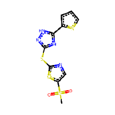 CS(=O)(=O)c1cnc(Sc2n[nH]c(-c3cccs3)n2)s1